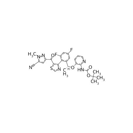 C[C@@H](Oc1cccnc1NC(=O)OC(C)(C)C)c1cc(F)cc(F)c1-c1ncsc1C(=O)c1cc(C#N)n(C)n1